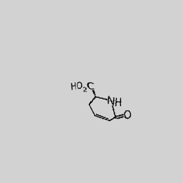 O=C1C=CC[C@@H](C(=O)O)N1